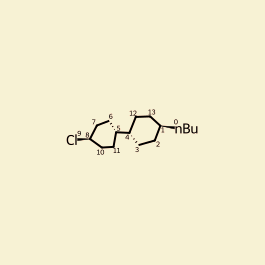 CCCC[C@H]1CC[C@H]([C@H]2CC[C@H](Cl)CC2)CC1